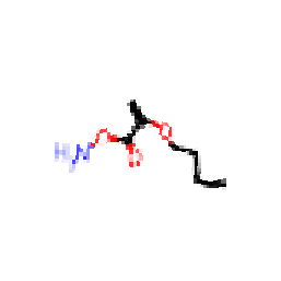 C=C(OCCCC)C(=O)ON